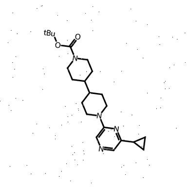 CC(C)(C)OC(=O)N1CCC(C2CCN(c3cncc(C4CC4)n3)CC2)CC1